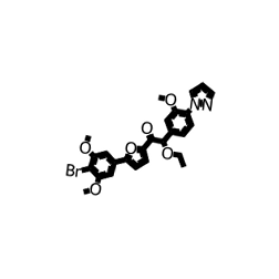 CCOC(C(=O)c1ccc(-c2cc(OC)c(Br)c(OC)c2)o1)c1ccc(-n2cccn2)c(OC)c1